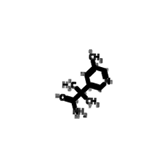 Cc1cncc(C(C)(C)C(N)=O)c1